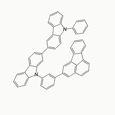 c1ccc(-n2c3ccccc3c3cc(-c4ccc5c6ccccc6n(-c6cccc(-c7cc8c9c(cccc9c7)-c7ccccc7-8)c6)c5c4)ccc32)cc1